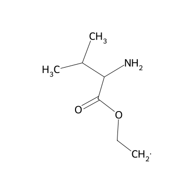 [CH2]COC(=O)C(N)C(C)C